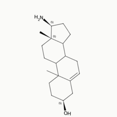 CC12CC[C@H](O)CC1=CCC1C2CC[C@@]2(C)C1CC[C@@H]2N